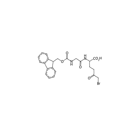 O=C(CBr)CCC(NC(=O)CNC(=O)OCC1c2ccccc2-c2ccccc21)C(=O)O